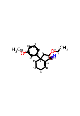 CCOC(=O)CC1(c2cccc(OC)c2)CCCC=C1C#N